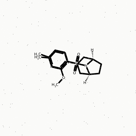 COc1nc(C)ccc1S(=O)(=O)N1[C@@H]2CC[C@H]1C[C@H](N1CCC(C)CC1)C2